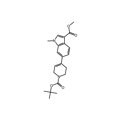 COC(=O)c1cn(C)c2cc(C3=CCN(C(=O)OC(C)(C)C)CC3)ccc12